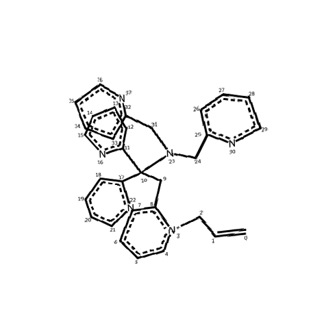 C=CC[n+]1ccccc1CC(c1ccccn1)(c1ccccn1)N(Cc1ccccn1)Cc1ccccn1